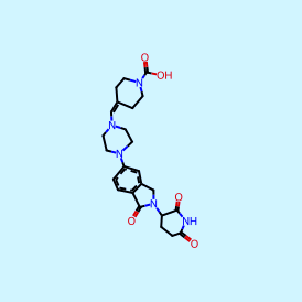 O=C1CCC(N2Cc3cc(N4CCN(C=C5CCN(C(=O)O)CC5)CC4)ccc3C2=O)C(=O)N1